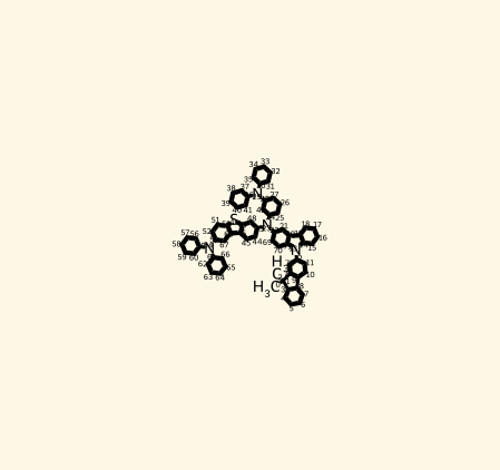 CC1(C)c2ccccc2-c2ccc(-n3c4ccccc4c4cc(N(c5cccc(N(c6ccccc6)c6ccccc6)c5)c5ccc6c(c5)sc5ccc(N(c7ccccc7)c7ccccc7)cc56)ccc43)cc21